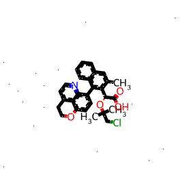 Cc1cc2ccccc2c(-c2ccc3c4c(ccnc24)CCO3)c1[C@@H](OC(C)(C)CCl)C(=O)O